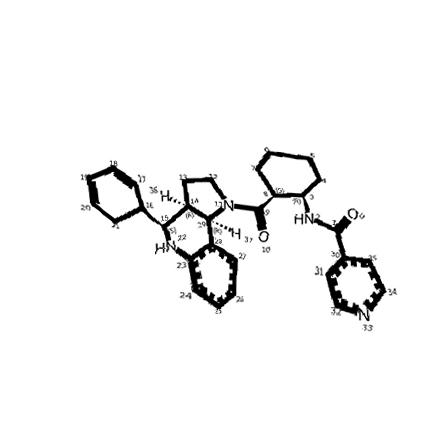 O=C(N[C@@H]1CCCC[C@@H]1C(=O)N1CC[C@@H]2[C@H](C3C=CC=CC3)Nc3ccccc3[C@@H]21)c1ccncc1